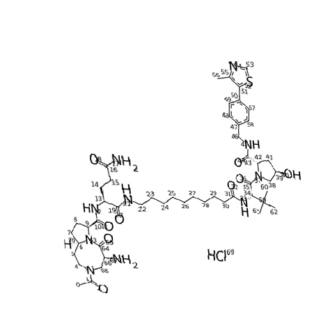 CC(=O)N1CC[C@H]2CC[C@@H](C(=O)N[C@@H](CCC(N)=O)C(=O)NCCCCCCCCCC(=O)N[C@H](C(=O)N3C[C@H](O)C[C@H]3C(=O)NCc3ccc(-c4scnc4C)cc3)C(C)(C)C)N2C(=O)[C@@H](N)C1.Cl